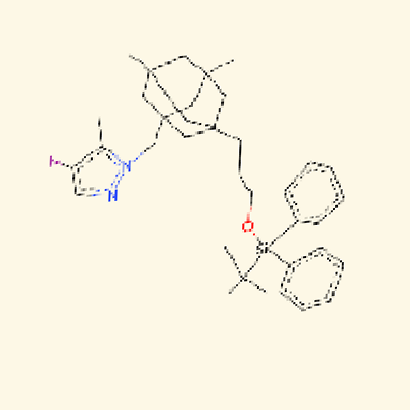 Cc1c(I)cnn1CC12CC3(C)CC(C)(CC(CCCO[Si](c4ccccc4)(c4ccccc4)C(C)(C)C)(C3)C1)C2